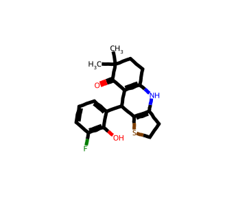 CC1(C)CCC2=C(C1=O)C(c1cccc(F)c1O)C1=C(CCS1)N2